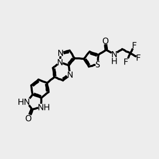 O=C(NCC(F)(F)F)c1cc(-c2cnn3cc(-c4ccc5[nH]c(=O)[nH]c5c4)cnc23)cs1